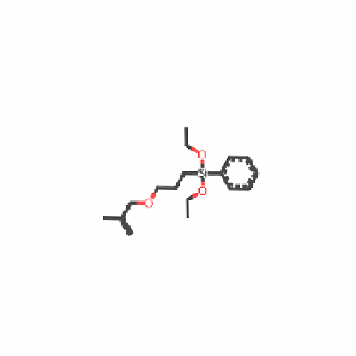 C=C(C)COCCC[Si](OCC)(OCC)c1ccccc1